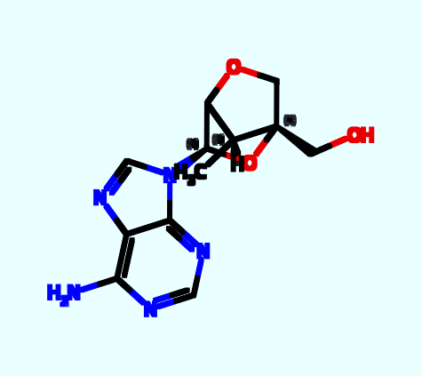 C[C@@H]1C2OC[C@]1(CO)O[C@H]2n1cnc2c(N)ncnc21